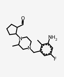 Cc1c(N)cc(F)cc1CN1CCN(C2CCCC2C=O)C(C)C1